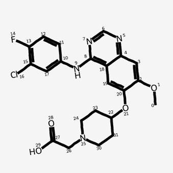 COc1cc2ncnc(Nc3ccc(F)c(Cl)c3)c2cc1OC1CCN(CC(=O)O)CC1